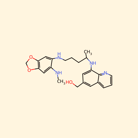 CNc1cc2c(cc1NCCCC(C)Nc1cc(CO)cc3cccnc13)OCO2